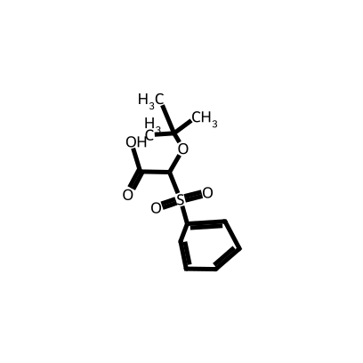 CC(C)(C)OC(C(=O)O)S(=O)(=O)c1ccccc1